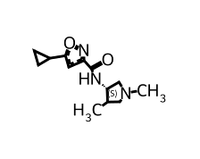 CC1CN(C)C[C@H]1NC(=O)c1cc(C2CC2)on1